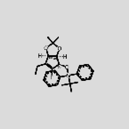 CCC1=C(F)[C@H](O[Si](c2ccccc2)(c2ccccc2)C(C)(C)C)[C@@H]2OC(C)(C)O[C@H]12